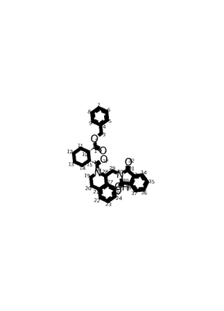 O=C(OCc1ccccc1)[C@H]1CCCC[C@H]1C(=O)N1CCc2cccc(O)c2C1CN1C(=O)c2ccccc2C1=O